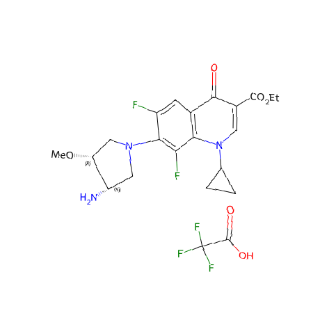 CCOC(=O)c1cn(C2CC2)c2c(F)c(N3C[C@H](N)[C@H](OC)C3)c(F)cc2c1=O.O=C(O)C(F)(F)F